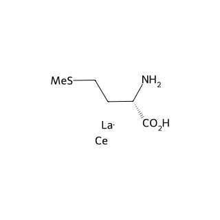 CSCC[C@H](N)C(=O)O.[Ce].[La]